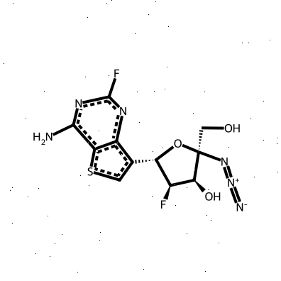 [N-]=[N+]=N[C@]1(CO)O[C@@H](c2csc3c(N)nc(F)nc23)[C@H](F)[C@@H]1O